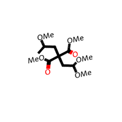 COC(=O)C(CC(C)OC)(CC(OC)OC)C(=O)OC